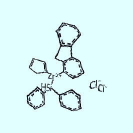 C1=CC[C]([Zr+2]([c]2cccc3c2Cc2ccccc2-3)[SiH](c2ccccc2)c2ccccc2)=C1.[Cl-].[Cl-]